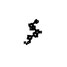 COc1cncc(-c2cnc3[nH]nc(-c4cc5c(-c6ccoc6)cncc5[nH]4)c3c2)c1